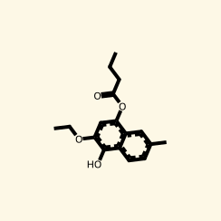 CCCC(=O)Oc1cc(OCC)c(O)c2ccc(C)cc12